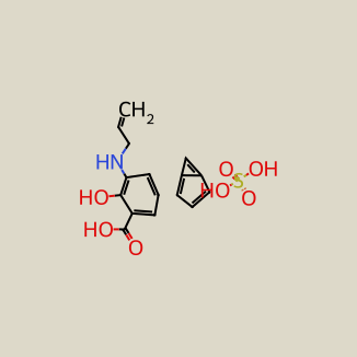 C=CCNc1cccc(C(=O)O)c1O.O=S(=O)(O)O.c1cc2cc-2c1